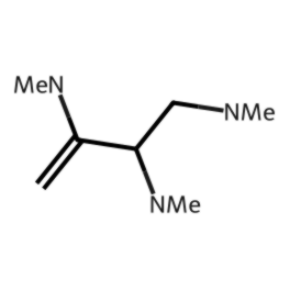 C=C(NC)C(CNC)NC